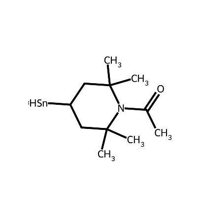 CC(=O)N1C(C)(C)C[CH]([SnH])CC1(C)C